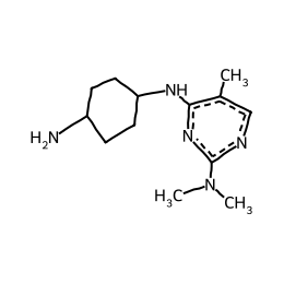 Cc1cnc(N(C)C)nc1NC1CCC(N)CC1